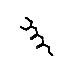 CCCC(=O)CC(=O)CC(CC)CC